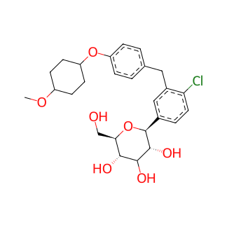 COC1CCC(Oc2ccc(Cc3cc([C@@H]4O[C@H](CO)[C@@H](O)C(O)[C@H]4O)ccc3Cl)cc2)CC1